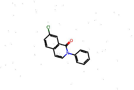 O=c1c2cc(Cl)ccc2ccn1-c1ccccc1